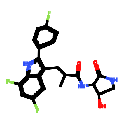 CC(Cc1c(-c2ccc(F)cc2)[nH]c2c(F)cc(F)cc12)C(=O)N[C@@H]1C(=O)NC[C@H]1O